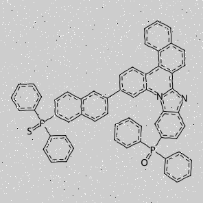 O=P(c1ccccc1)(c1ccccc1)c1ccc2nc3c4ccc5ccccc5c4c4ccc(-c5ccc6cc(P(=S)(c7ccccc7)c7ccccc7)ccc6c5)cc4n3c2c1